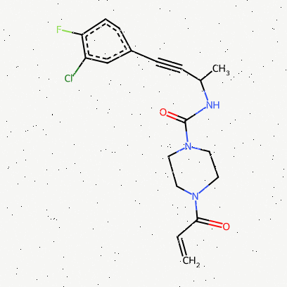 C=CC(=O)N1CCN(C(=O)NC(C)C#Cc2ccc(F)c(Cl)c2)CC1